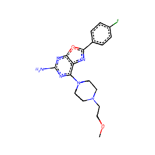 COCCN1CCN(c2nc(N)nc3oc(-c4ccc(F)cc4)nc23)CC1